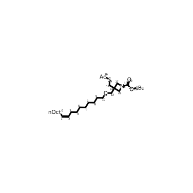 CCCCCCCC/C=C\CCCCCCCCOCC1(CSC(C)=O)CN(C(=O)OC(C)(C)C)C1